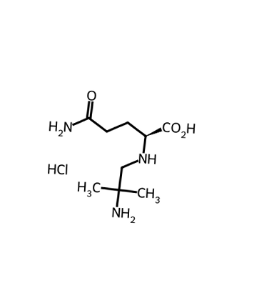 CC(C)(N)CN[C@@H](CCC(N)=O)C(=O)O.Cl